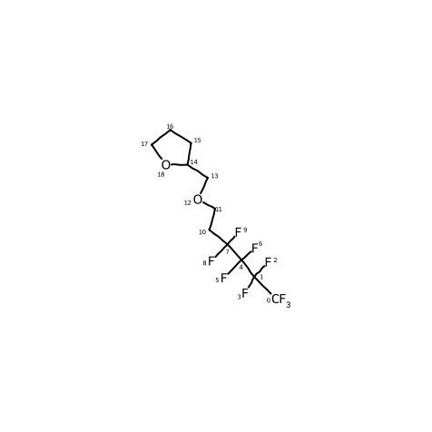 FC(F)(F)C(F)(F)C(F)(F)C(F)(F)CCOCC1CCCO1